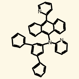 c1ccc(-c2cc(-c3ccccc3)cc(N(c3ccccn3)c3c4ccccc4c(-c4ccccn4)c4ccccc34)c2)cc1